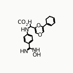 N=C(NO)c1ccc(NC(C(=O)O)C2=COC=C(C3=CC=CCC3)O2)cc1